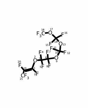 FC(OC(F)(F)C(F)(F)OC(F)(F)OC(F)(F)OC(F)(F)F)=C(F)C(F)(F)F